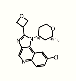 C[C@@H]1C[C@H](n2c(C3COC3)nc3cnc4ccc(Cl)cc4c32)CCO1